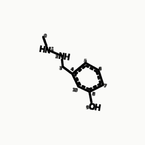 CNNCc1cccc(O)c1